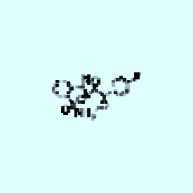 CCOC(c1ccc(F)cc1)c1nc(-c2ccccc2S(N)(=O)=O)no1